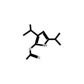 CC(=O)Oc1[nH]c(C(C)C)cc1C(C)C